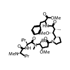 CCC(C)[C@@H]([C@@H](CC(=O)N1CCC[C@H]1[C@H](OC)[C@@H](C)C(=O)NC(Cc1ccccc1)C(=O)OC)OC)N(C)C(=O)[C@@H](NC(=O)[C@@H](NC)C(C)C)C(C)C